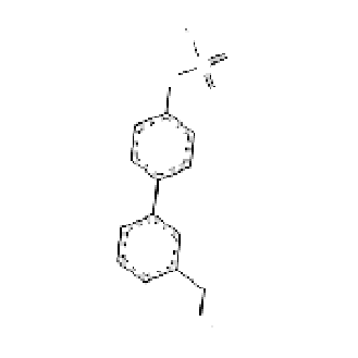 N#CCc1cccc(-c2ccc(OS(N)(=O)=O)cc2)c1